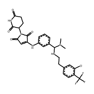 CN(C)C(NCCc1ccc(C(F)(F)F)c(Cl)c1)c1cccc(NC2=CC(=O)N(C3CCC(=O)NC3=O)C2=O)c1